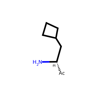 CC(=O)[C@H](N)CC1CCC1